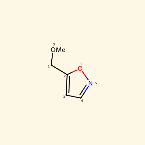 COCc1c[c]no1